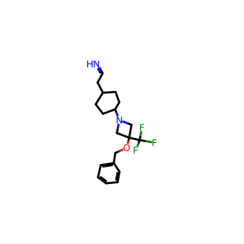 N=CCC1CCC(N2CC(OCc3ccccc3)(C(F)(F)F)C2)CC1